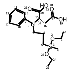 CCO[Si](C)(CCCN(c1ccccc1)[C@@H](CC(=O)O)C(=O)O)OCC